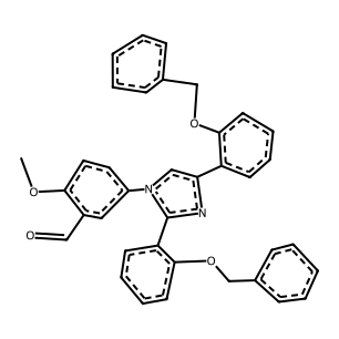 COc1ccc(-n2cc(-c3ccccc3OCc3ccccc3)nc2-c2ccccc2OCc2ccccc2)cc1C=O